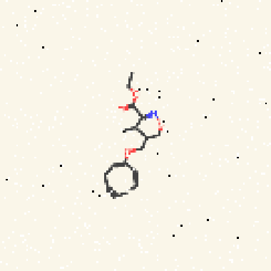 CCOC(=O)C1=NOCC(COC2=C/CC#CC/C=C\2)C1C